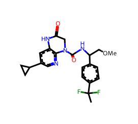 COCC(NC(=O)N1CC(=O)Nc2cc(C3CC3)cnc21)c1ccc(C(C)(F)F)cc1